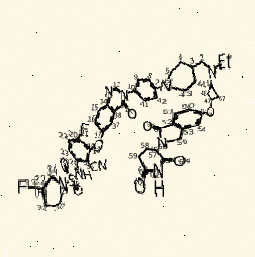 CCN(CC1CCN(c2ccc(-n3cnc4ccc(Oc5c(F)ccc(NS(=O)(=O)N6CC[C@@H](F)C6)c5C#N)cc4c3=O)cc2)CC1)[C@H]1C[C@H](Oc2ccc3c(c2)CN([C@H]2CCC(=O)NC2=O)C3=O)C1